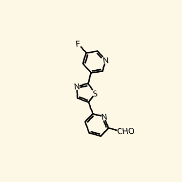 O=Cc1cccc(-c2cnc(-c3cncc(F)c3)s2)n1